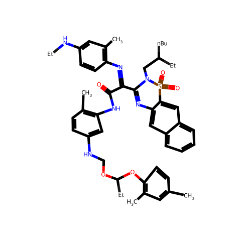 CCCCC(CC)CN1C(/C(=N/c2ccc(NCC)cc2C)C(=O)Nc2cc(NCOC(CC)Oc3ccc(C)cc3C)ccc2C)=Nc2cc3ccccc3cc2S1(=O)=O